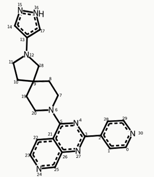 c1cc(-c2nc(N3CCC4(CCN(c5cn[nH]c5)C4)CC3)c3ccncc3n2)ccn1